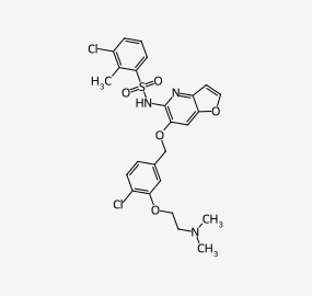 Cc1c(Cl)cccc1S(=O)(=O)Nc1nc2ccoc2cc1OCc1ccc(Cl)c(OCCN(C)C)c1